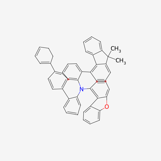 CC1(C)c2ccccc2-c2c(-c3ccccc3N(c3ccccc3-c3ccc(C4=CC=CCC4)cc3)c3cccc4oc5ccccc5c34)cccc21